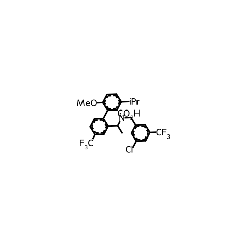 COc1ccc(C(C)C)cc1-c1ccc(C(F)(F)F)cc1C(C)N(Cc1cc(Cl)cc(C(F)(F)F)c1)C(=O)O